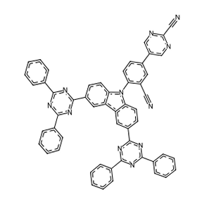 N#Cc1ncc(-c2ccc(-n3c4ccc(-c5nc(-c6ccccc6)nc(-c6ccccc6)n5)cc4c4cc(-c5nc(-c6ccccc6)nc(-c6ccccc6)n5)ccc43)c(C#N)c2)cn1